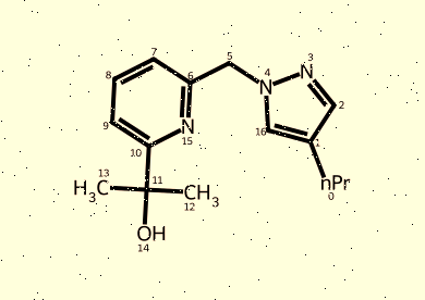 CCCc1cnn(Cc2cccc(C(C)(C)O)n2)c1